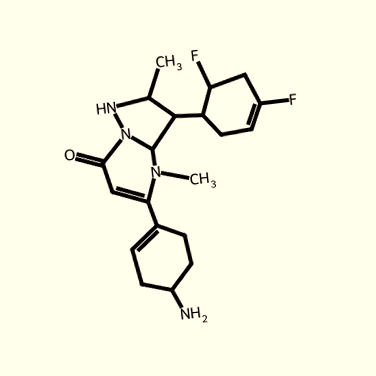 CC1NN2C(=O)C=C(C3=CCC(N)CC3)N(C)C2C1C1CC=C(F)CC1F